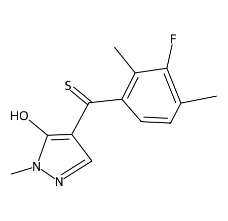 Cc1ccc(C(=S)c2cnn(C)c2O)c(C)c1F